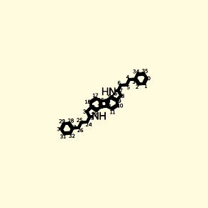 c1ccc(CCCC2Cc3ccc4c(c3N2)-c2ccc3c(c2-4)NC(CCCc2ccccc2)C3)cc1